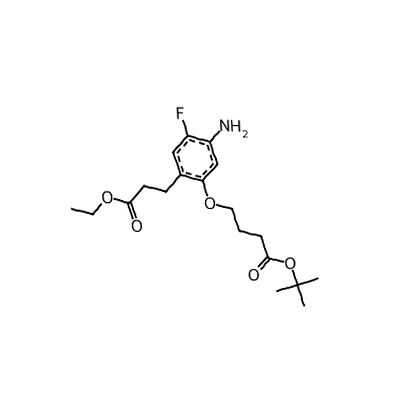 CCOC(=O)CCc1cc(F)c(N)cc1OCCCC(=O)OC(C)(C)C